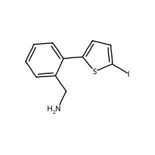 NCc1ccccc1-c1ccc(I)s1